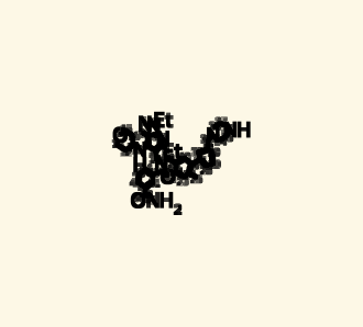 CCc1nc2c(cnn2CC)c(NC2CCOCC2)c1CN(Cc1ccc(C)c(-c2cccc(CN3CCNCC3)c2)c1)C(=O)c1cccc(C(N)=O)c1